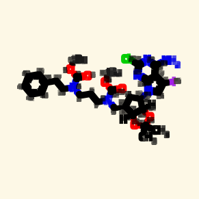 CC(C)(C)OC(=O)N(CCCN(C[C@H]1C[C@@H](n2cc(I)c3c(N)nc(Cl)nc32)[C@@H]2OC(C)(C)O[C@H]12)C(=O)OC(C)(C)C)CCc1ccccc1